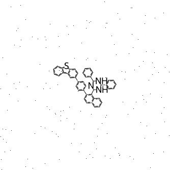 c1ccc(C2=NC(c3c(-c4ccc(-c5ccc6sc7ccccc7c6c5)cc4)ccc4ccccc34)NC(c3ccccc3)N2)cc1